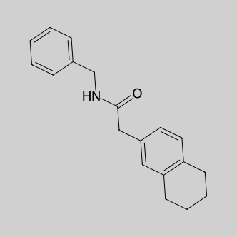 O=C(Cc1ccc2c(c1)CCCC2)NCc1ccccc1